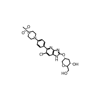 CS(=O)(=O)N1CCN(c2ccc(-c3nc4nc(O[C@H]5COC(CO)[C@@H](O)C5)[nH]c4cc3Cl)cc2)CC1